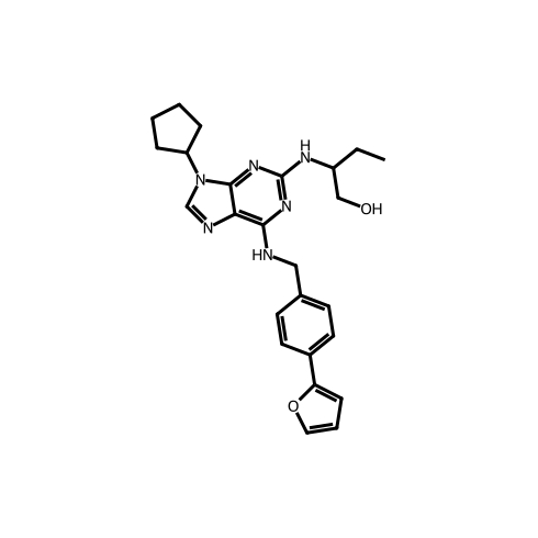 CCC(CO)Nc1nc(NCc2ccc(-c3ccco3)cc2)c2ncn(C3CCCC3)c2n1